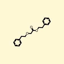 O=C(COCCc1ccccc1)OCCc1ccccc1